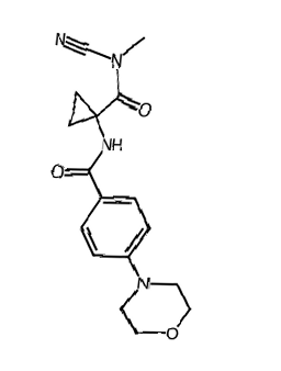 CN(C#N)C(=O)C1(NC(=O)c2ccc(N3CCOCC3)cc2)CC1